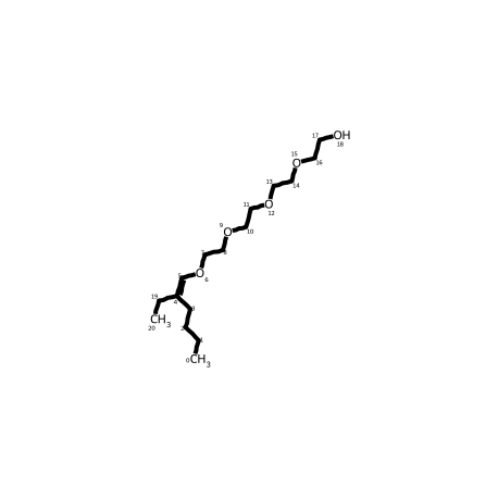 CCCC/C(=C\OCCOCCOCCOCCO)CC